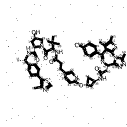 Cc1ncsc1-c1ccc([C@H](C)NC(=O)[C@@H]2C[C@@H](O)CN2C(=O)C(NC(=O)CCc2ccc(O[C@H]3C[C@H](NC(=O)C[C@@H]4N=C(c5ccc(Cl)cc5)c5c(sc(C)c5C)-n5c(C)nnc54)C3)nc2)C(C)(C)C)cc1